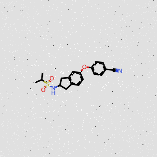 CC(C)S(=O)(=O)NC1Cc2ccc(Oc3ccc(C#N)cc3)cc2C1